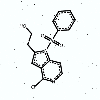 O=S(=O)(c1ccccc1)n1c(CCO)cc2c(Cl)nccc21